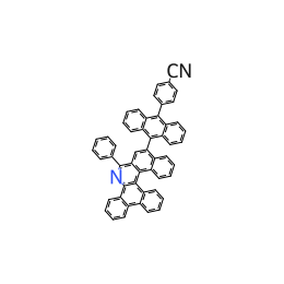 N#Cc1ccc(-c2c3ccccc3c(-c3cc4c(-c5ccccc5)nc5c6ccccc6c6ccccc6c5c4c4ccccc34)c3ccccc23)cc1